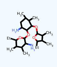 CCC1OC(OC2C(C)C(C)CC(N)C2OC2OC(CC)C(C)C(C)C2N)C(C)C1C